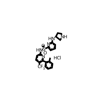 Cc1ccccc1-c1nc(NS(=O)(=O)c2cccc(N[C@@H]3CCNC3)n2)ccc1C(F)(F)F.Cl